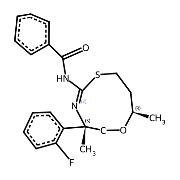 C[C@@H]1CCS/C(NC(=O)c2ccccc2)=N\[C@@](C)(c2ccccc2F)CO1